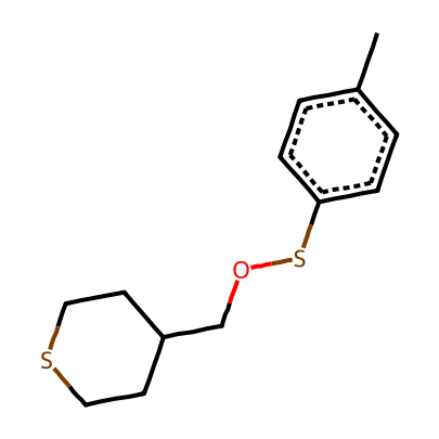 Cc1ccc(SOCC2CCSCC2)cc1